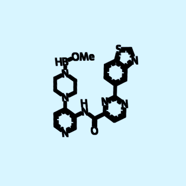 COBN1CCN(c2ccncc2NC(=O)c2ccnc(-c3ccc4scnc4c3)n2)CC1